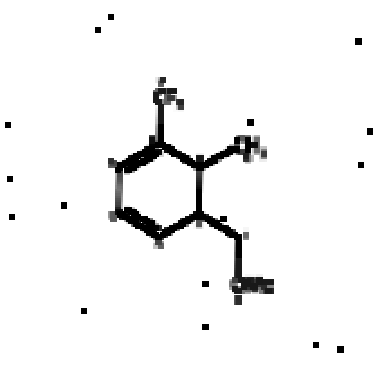 COCC1C=CC=C(C(F)(F)F)C1C